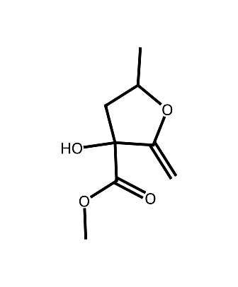 C=C1OC(C)CC1(O)C(=O)OC